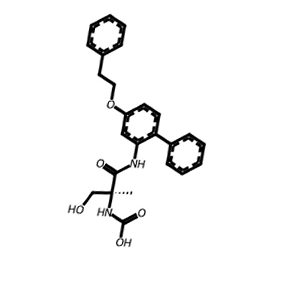 C[C@@](CO)(NC(=O)O)C(=O)Nc1cc(OCCc2ccccc2)ccc1-c1ccccc1